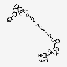 COC[C@H]1CN[C@H](C)CN1CC(=O)N1CC(C)(C)c2ncc(Cc3ccccc3OCCOCCOCCOCCOCCOCCOCCN[C@H](Cc3cccc(F)c3)C(=O)Nc3ccc(-c4ccncc4)cc3)cc21